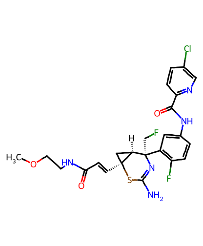 COCCNC(=O)/C=C/[C@]12C[C@H]1[C@@](CF)(c1cc(NC(=O)c3ccc(Cl)cn3)ccc1F)N=C(N)S2